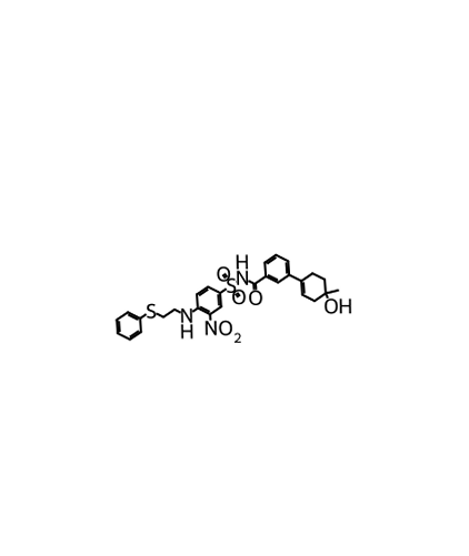 CC1(O)CC=C(c2cccc(C(=O)NS(=O)(=O)c3ccc(NCCSc4ccccc4)c([N+](=O)[O-])c3)c2)CC1